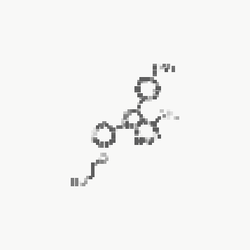 COc1ccc(-c2cn(-c3cccc(OCCO)c3)c3ncnc(N)c23)cc1